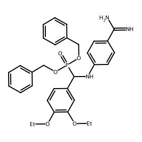 CCOc1ccc(C(Nc2ccc(C(=N)N)cc2)P(=O)(OCc2ccccc2)OCc2ccccc2)cc1OCC